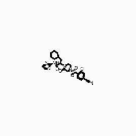 N#Cc1ccc(S(=O)(=O)N2CCN(C(CC3CCCCC3)C(=O)Nc3nccs3)C(=O)C2)c(Cl)c1